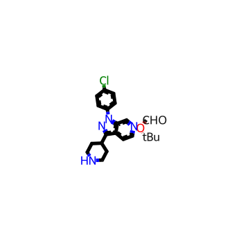 CC(C)(C)OC=O.Clc1ccc(-n2nc(C3CCNCC3)c3ccncc32)cc1